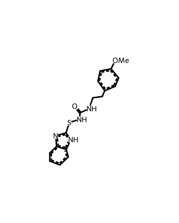 COc1ccc(CCNC(=O)NSc2nc3ccccc3[nH]2)cc1